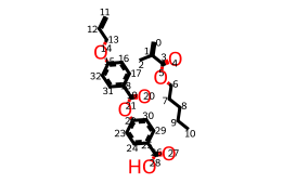 C=C(C)C(=O)OCCCCC.C=CCOc1ccc(C(=O)Oc2ccc(C(=O)O)cc2)cc1